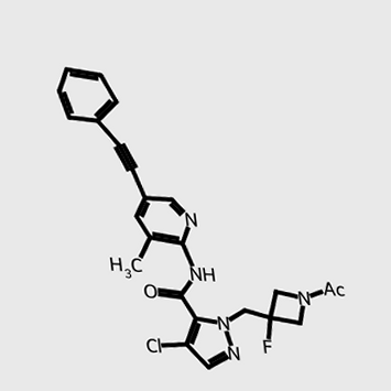 CC(=O)N1CC(F)(Cn2ncc(Cl)c2C(=O)Nc2ncc(C#Cc3ccccc3)cc2C)C1